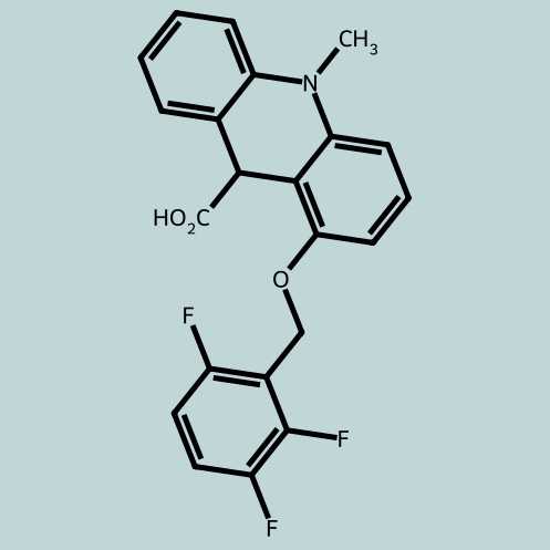 CN1c2ccccc2C(C(=O)O)c2c(OCc3c(F)ccc(F)c3F)cccc21